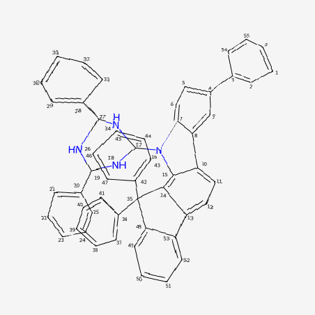 c1ccc(-c2ccc3c(c2)c2ccc4c(c2n3C2NC(c3ccccc3)NC(c3ccccc3)N2)C(c2ccccc2)(c2ccccc2)c2ccccc2-4)cc1